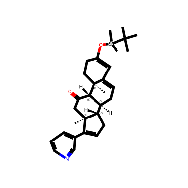 CC(C)(C)[Si](C)(C)OC1=CC2=CC[C@@H]3[C@H](C(=O)C[C@]4(C)C(c5cccnc5)=CC[C@@H]34)[C@@]2(C)CC1